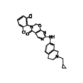 O=C1c2cnc(Nc3ccc4c(c3)CN(CC3CC3)CC4)nc2OCN1c1c(Cl)cccc1Cl